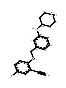 N#Cc1cc(F)ccc1OCc1cccc(OC2CCNCC2)c1